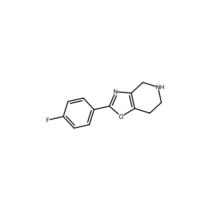 Fc1ccc(-c2nc3c(o2)CCNC3)cc1